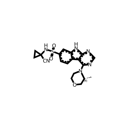 C[C@@H]1COCCN1c1ncnc2[nH]c3cc(S(=O)(=O)NC4(C#N)CC4)ccc3c12